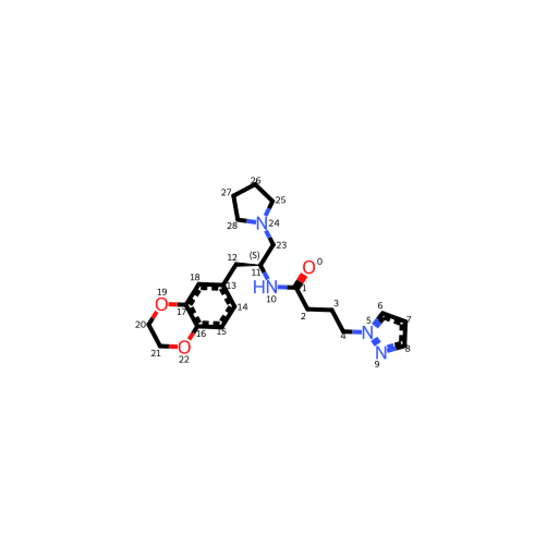 O=C(CCCn1cccn1)N[C@@H](Cc1ccc2c(c1)OCCO2)CN1CCCC1